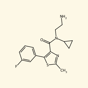 Cc1nc(C(=O)N(CCN)C2CC2)c(-c2cccc(F)c2)s1